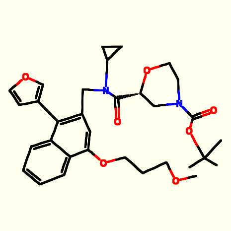 COCCCOc1cc(CN(C(=O)[C@H]2CN(C(=O)OC(C)(C)C)CCO2)C2CC2)c(-c2ccoc2)c2ccccc12